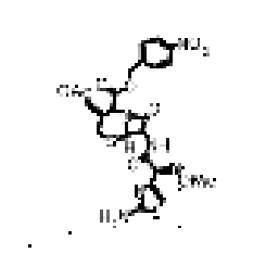 CON=C(C(=O)NC1C(=O)N2C(C(=O)OCc3ccc([N+](=O)[O-])cc3)C(=COC(C)=O)CS[C@H]12)c1csc(N)n1